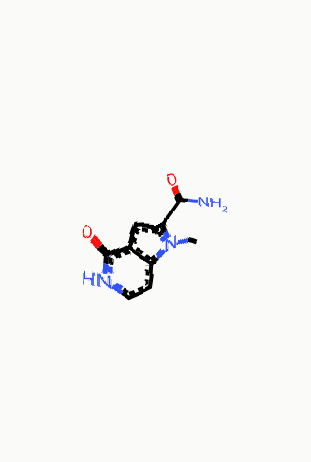 Cn1c(C(N)=O)cc2c(=O)[nH]ccc21